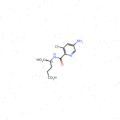 Nc1cnc(C(=O)N[C@@H](CCC(=O)O)C(=O)O)c(Cl)c1